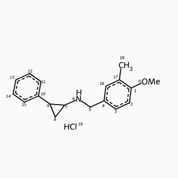 COc1ccc(CNC2CC2c2ccccc2)cc1C.Cl